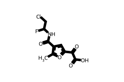 Cc1oc(C(=O)C(=O)O)cc1C(=O)NC(F)CCl